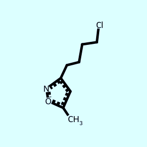 Cc1cc(CCCCCl)no1